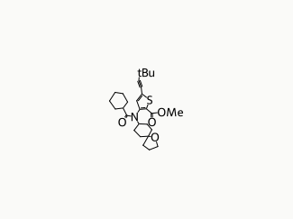 COC(=O)c1sc(C#CC(C)(C)C)cc1N(C(=O)C1CCCCC1)C1CCC2(CCCO2)CC1